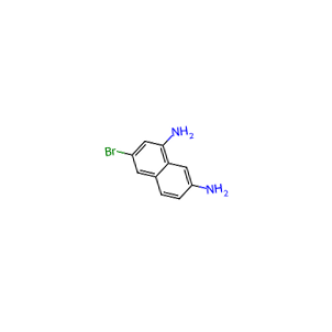 Nc1ccc2cc(Br)cc(N)c2c1